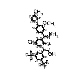 COc1cc(/C(=N\N)c2cc(Cl)cn(C(CO)c3cc(C(F)(F)F)cc(C(F)(F)F)c3)c2=O)ccc1-n1cnc(C)c1